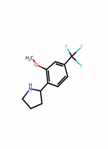 COc1cc(C(F)(F)F)ccc1C1CCCN1